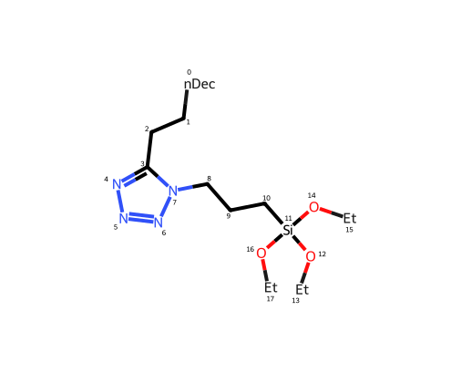 CCCCCCCCCCCCc1nnnn1CCC[Si](OCC)(OCC)OCC